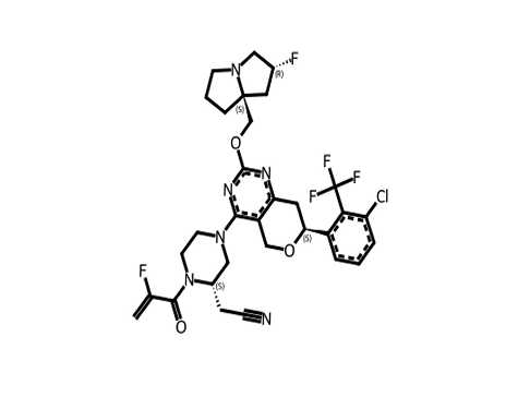 C=C(F)C(=O)N1CCN(c2nc(OC[C@@]34CCCN3C[C@H](F)C4)nc3c2CO[C@H](c2cccc(Cl)c2C(F)(F)F)C3)C[C@@H]1CC#N